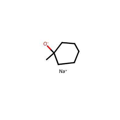 CC1([O-])CCCCC1.[Na+]